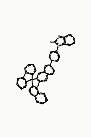 Cc1nc2ccccc2n1-c1ccc(-c2ccc3cc4c(cc3c2)C2(c3ccccc3-c3ccccc32)c2ccc3ccccc3c2-4)cc1